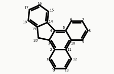 [c]1[c]c2c3c(c4ccccc4c2cc1)-c1ccccc1C3